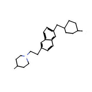 CCOC(=O)C1CCN(CCc2ccc3cc(CC4CCC(C(C)(C)C)CC4)ccc3c2)CC1